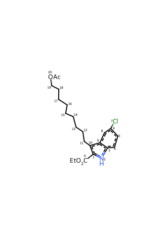 CCOC(=O)c1[nH]c2ccc(Cl)cc2c1CCCCCCCCCOC(C)=O